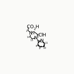 Cl.O=C(O)CN1CCN(c2ccccn2)CC1